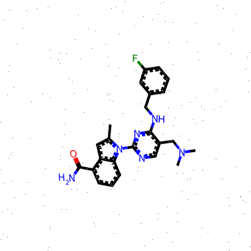 Cc1cc2c(C(N)=O)cccc2n1-c1ncc(CN(C)C)c(NCc2cccc(F)c2)n1